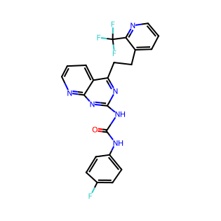 O=C(Nc1ccc(F)cc1)Nc1nc(CCc2cccnc2C(F)(F)F)c2cccnc2n1